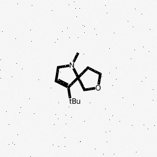 CN1CC=C(C(C)(C)C)C12CCOC2